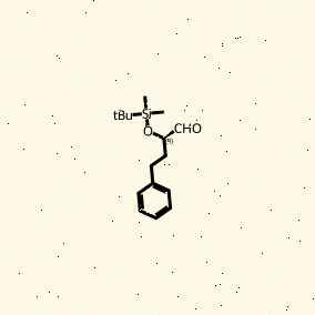 CC(C)(C)[Si](C)(C)O[C@@H](C=O)CCc1ccccc1